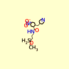 CCO[SiH2]CCCNC(=O)c1cc([N+](=O)[O-])ccc1Cc1ccncc1